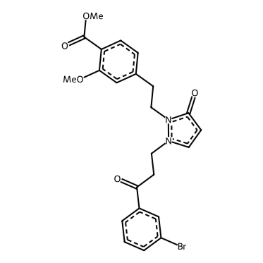 COC(=O)c1ccc(CCn2c(=O)ccn2CCC(=O)c2cccc(Br)c2)cc1OC